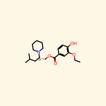 CCOc1cc(C(=O)OC[C@H](CC(C)C)N2CCCCC2)ccc1O